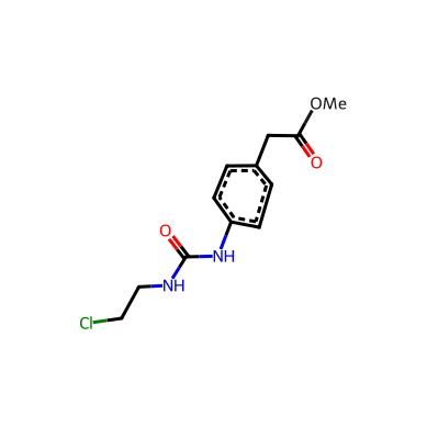 COC(=O)Cc1ccc(NC(=O)NCCCl)cc1